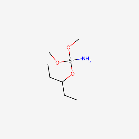 CCC(CC)O[Si](N)(OC)OC